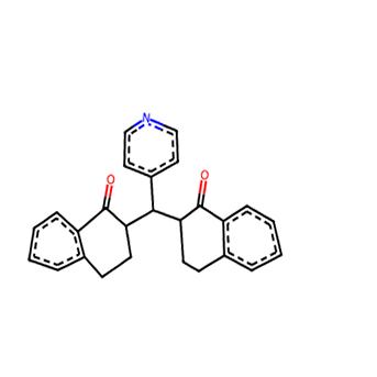 O=C1c2ccccc2CCC1C(c1ccncc1)C1CCc2ccccc2C1=O